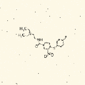 CCN(CC)CCNC(=O)c1ccc(Sc2ccc(F)cc2)c([N+](=O)[O-])c1